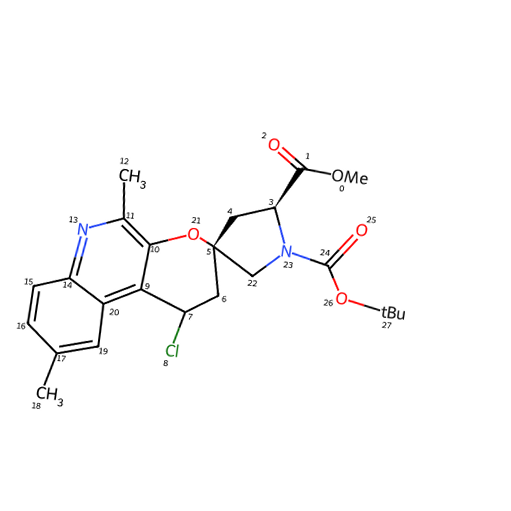 COC(=O)[C@@H]1C[C@]2(CC(Cl)c3c(c(C)nc4ccc(C)cc34)O2)CN1C(=O)OC(C)(C)C